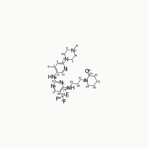 Cc1cc(N2CCN(C)CC2)ncc1Nc1ncc(C(F)(F)F)c(NCCCN2CCCCC2=O)n1